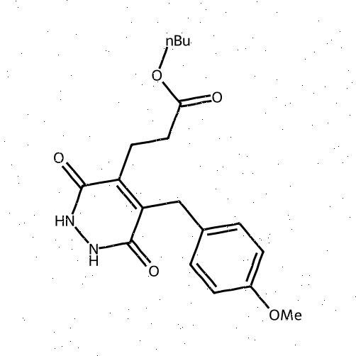 CCCCOC(=O)CCc1c(Cc2ccc(OC)cc2)c(=O)[nH][nH]c1=O